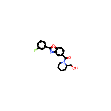 O=C(c1ccc2oc(-c3cccc(F)c3)nc2c1)N1CCCCC1CO